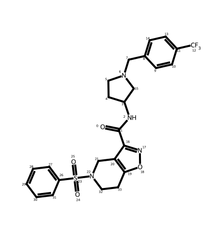 O=C(NC1CCN(Cc2ccc(C(F)(F)F)cc2)C1)c1noc2c1CN(S(=O)(=O)c1ccccc1)CC2